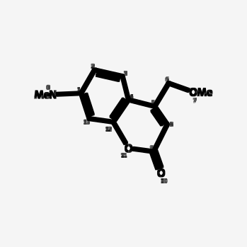 CNc1ccc2c(COC)cc(=O)oc2c1